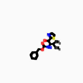 CC(C)C(NC(=O)OCc1ccccc1)C(=O)c1nccs1